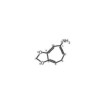 NC1=CCC=C2OCOC2=C1